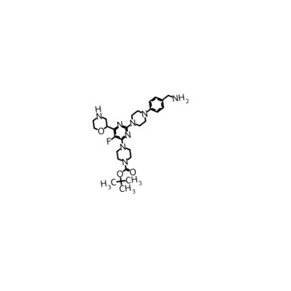 CC(C)(C)OC(=O)N1CCN(c2nc(N3CCN(c4ccc(CN)cc4)CC3)nc(C3CNCCO3)c2F)CC1